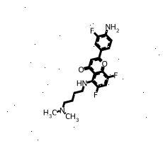 CN(C)CCCCNc1c(F)cc(F)c2oc(-c3ccc(N)c(F)c3)cc(=O)c12